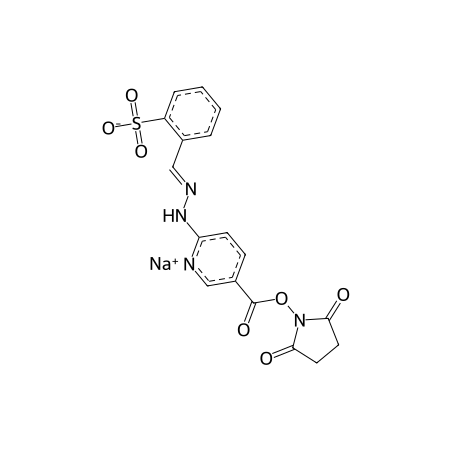 O=C(ON1C(=O)CCC1=O)c1ccc(NN=Cc2ccccc2S(=O)(=O)[O-])nc1.[Na+]